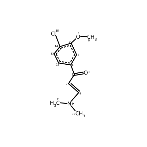 COc1cc(C(=O)C=CN(C)C)ccc1Cl